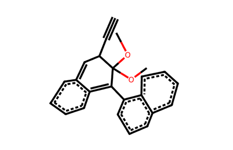 C#CC1C=c2ccccc2=C(c2cccc3ccccc23)C1(OC)OC